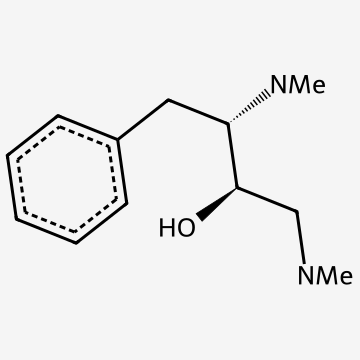 CNC[C@@H](O)[C@H](Cc1ccccc1)NC